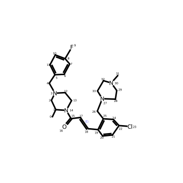 CC1CN(Cc2ccc(F)cc2)CCN1C(=O)/C=C/c1ccc(Cl)cc1CN1CCN(C)CC1